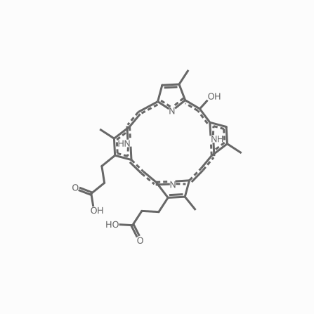 CC1=Cc2cc3[nH]c(cc4nc(cc5[nH]c(cc5C)c(O)c1n2)C(C)=C4CCC(=O)O)c(CCC(=O)O)c3C